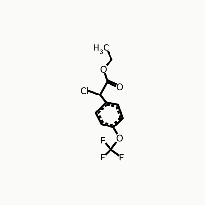 CCOC(=O)C(Cl)c1ccc(OC(F)(F)F)cc1